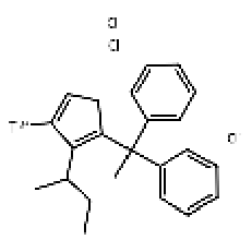 CCC(C)C1=C(C(C)(c2ccccc2)c2ccccc2)CC=[C]1[Ti+3].[Cl-].[Cl-].[Cl-]